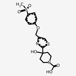 CS(=O)(=O)c1ccc(OCc2csc(C3(O)CCN(C(=O)O)CC3)n2)cc1